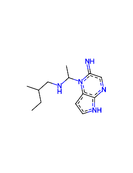 CCC(C)CNC(C)n1c(=N)cnc2[nH]ccc21